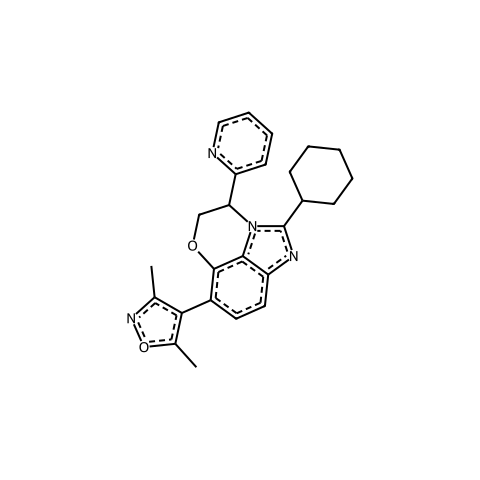 Cc1noc(C)c1-c1ccc2nc(C3CCCCC3)n3c2c1OCC3c1ccccn1